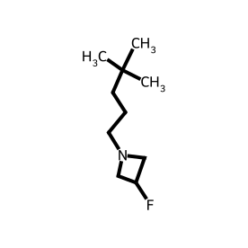 CC(C)(C)CCCN1CC(F)C1